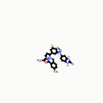 Cc1cnc(-c2cc(C#N)ccc2Cn2nccc2-c2cc(F)c3nnn(-c4ccc5[nH]c(=O)[nH]c5c4)c3c2)o1